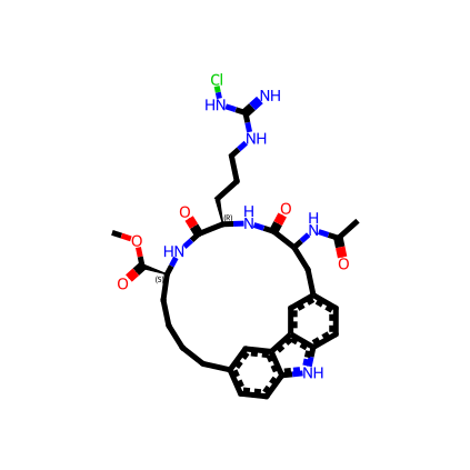 COC(=O)[C@@H]1CCCCc2ccc3[nH]c4ccc(cc4c3c2)CC(NC(C)=O)C(=O)N[C@H](CCCNC(=N)NCl)C(=O)N1